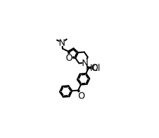 CN(C)Cc1cc2c(o1)CN(C(=O)c1ccc(C(=O)c3ccccc3)cc1)CC2.Cl